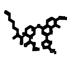 C=CCCCCN(C)C(=O)[C@@H]1CC[C@H](Oc2cc(-c3nc(C(F)(F)F)cs3)nc3c(C)c(OC)ccc23)C[C@H]1C(=O)OCCCC